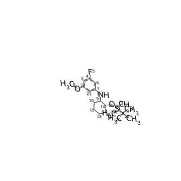 COc1cc(F)cc(N[C@@H]2CCCC[C@H]2O[Si](C)(C)C(C)(C)C)c1